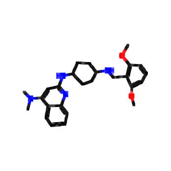 COc1cccc(OC)c1CNC1CCC(Nc2cc(N(C)C)c3ccccc3n2)CC1